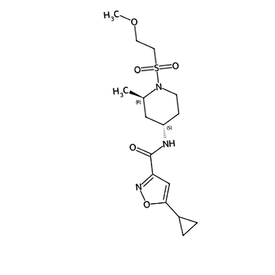 COCCS(=O)(=O)N1CC[C@H](NC(=O)c2cc(C3CC3)on2)C[C@H]1C